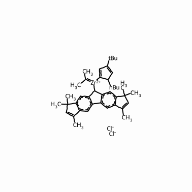 CCCCC1C=C(C(C)(C)C)C=[C]1[Zr+2](=[C](C)C)[CH]1c2cc3c(cc2-c2cc4c(cc21)C(C)(C)C=C4C)C(C)=CC3(C)C.[Cl-].[Cl-]